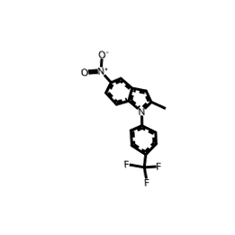 Cc1cc2cc([N+](=O)[O-])ccc2n1-c1ccc(C(F)(F)F)cc1